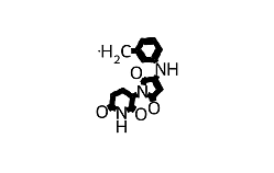 [CH2]c1cccc(NC2=CC(=O)N(C3CCC(=O)NC3=O)C2=O)c1